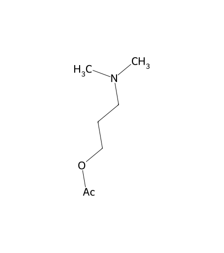 [CH2]C(=O)OCCCN(C)C